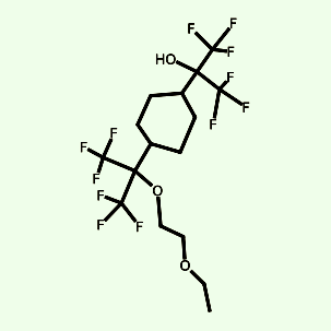 CCOCCOC(C1CCC(C(O)(C(F)(F)F)C(F)(F)F)CC1)(C(F)(F)F)C(F)(F)F